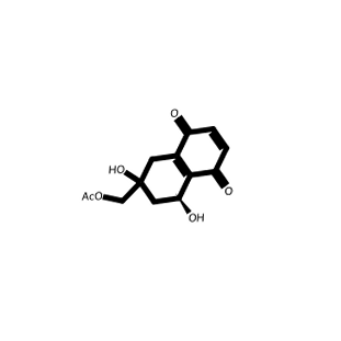 CC(=O)OCC1(O)CC2=C(C(=O)C=CC2=O)[C@@H](O)C1